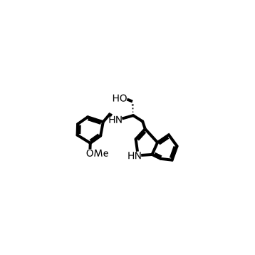 COc1cccc(CN[C@H](CO)Cc2c[nH]c3ccccc23)c1